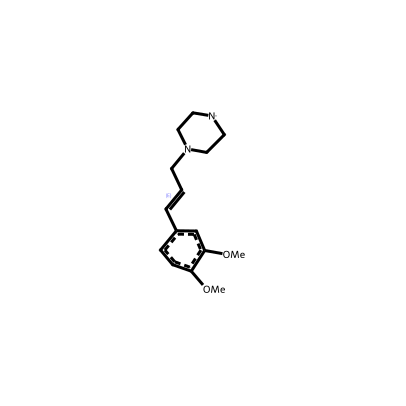 COc1ccc(/C=C/CN2CC[N]CC2)cc1OC